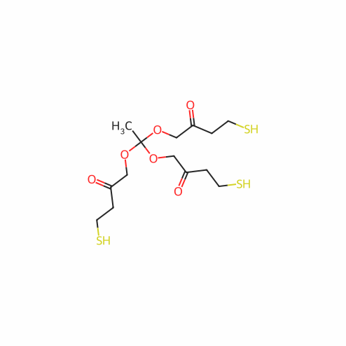 CC(OCC(=O)CCS)(OCC(=O)CCS)OCC(=O)CCS